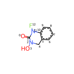 O=C1N(O)Cc2ccccc2N1F